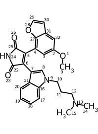 COc1cc(C2=C(c3cn(CCCN(C)C)c4ccccc34)C(=O)NC2=O)c2occc2c1